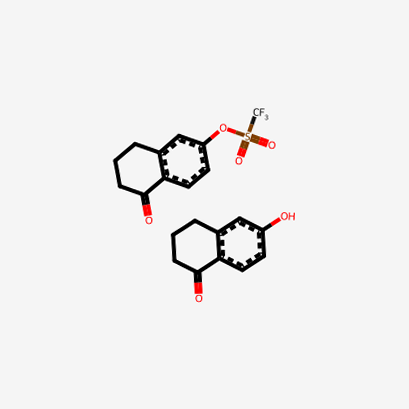 O=C1CCCc2cc(O)ccc21.O=C1CCCc2cc(OS(=O)(=O)C(F)(F)F)ccc21